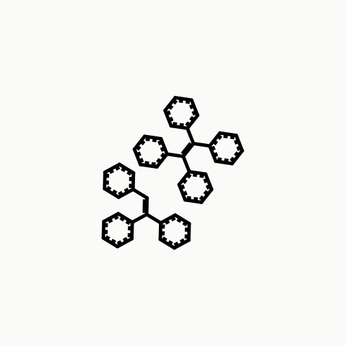 C(=C(c1ccccc1)c1ccccc1)c1ccccc1.c1ccc(C(=C(c2ccccc2)c2ccccc2)c2ccccc2)cc1